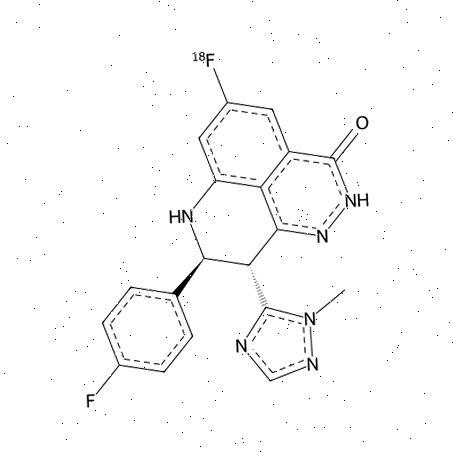 Cn1ncnc1[C@H]1c2n[nH]c(=O)c3cc([18F])cc(c23)N[C@@H]1c1ccc(F)cc1